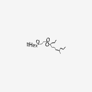 CC=CC(C)=CCCC(C=CC)OC(=O)CCC(=O)CCCCCC